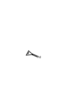 [Pd]=[c]1cc1